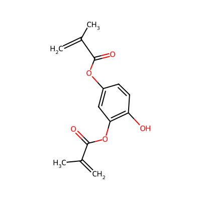 C=C(C)C(=O)Oc1ccc(O)c(OC(=O)C(=C)C)c1